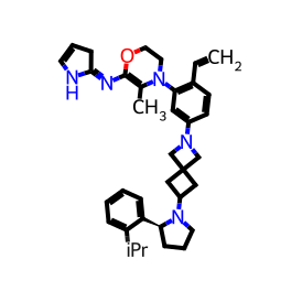 C=Cc1ccc(N2CC3(CC(N4CCC[C@H]4c4ccccc4C(C)C)C3)C2)cc1N1CCOC(/N=C2\CC=CN2)=C1C